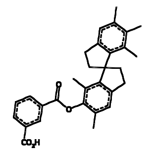 Cc1cc2c(c(C)c1C)C1(CC2)CCc2cc(C)c(OC(=O)c3cccc(C(=O)O)c3)c(C)c21